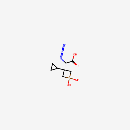 [N-]=[N+]=N[C@H](C(=O)O)C1(C2CC2)CS(O)(O)C1